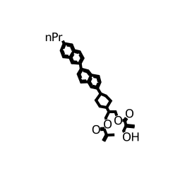 C=C(C)C(=O)OCC(COC(=O)C(=C)CO)C1CCC(c2ccc3cc(-c4ccc5cc(CCC)ccc5c4)ccc3c2)CC1